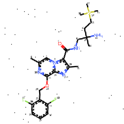 Cc1cn2c(C(=O)NCC(C)(N)CCS(C)(C)C)c(C)nc2c(OCc2c(F)cccc2F)n1